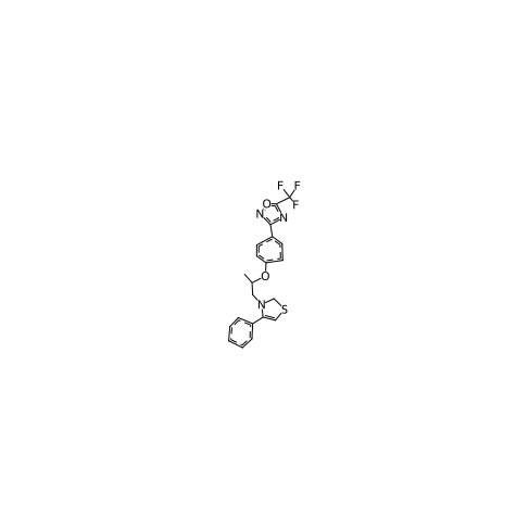 CC(CN1CSC=C1c1ccccc1)Oc1ccc(-c2noc(C(F)(F)F)n2)cc1